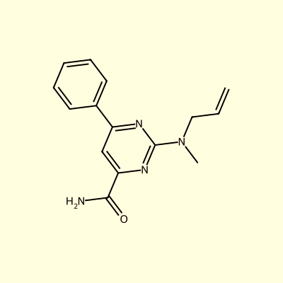 C=CCN(C)c1nc(C(N)=O)cc(-c2ccccc2)n1